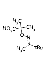 C/C(=N\OC(C)(C)C(=O)O)C(C)(C)C